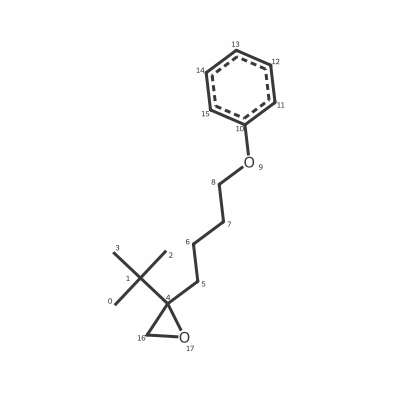 CC(C)(C)C1(CCCCOc2ccccc2)CO1